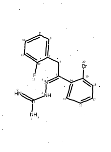 N=C(N)NN=C(Cc1ccccc1F)c1ccccc1Br